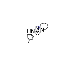 Cc1ccc(NC(=O)/N=C2/CCCCCN2C)cc1